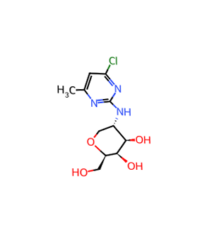 Cc1cc(Cl)nc(N[C@H]2CO[C@H](CO)[C@H](O)[C@@H]2O)n1